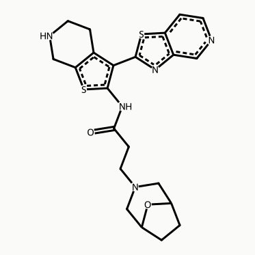 O=C(CCN1CC2CCC(C1)O2)Nc1sc2c(c1-c1nc3cnccc3s1)CCNC2